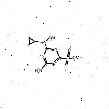 COS(=O)(=O)c1nc(N)nc(N(C2CC2)C(C)(C)C)n1